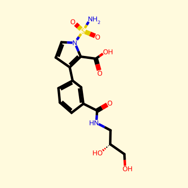 NS(=O)(=O)n1ccc(-c2cccc(C(=O)NC[C@@H](O)CO)c2)c1C(=O)O